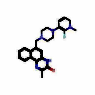 Cc1nc2c(cc(CN3CCN(C4=C(F)N(C)CC=C4)CC3)c3ccccc32)[nH]c1=O